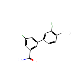 NC(=O)c1cc(F)cc(-c2ccc(C=O)c(F)c2)c1